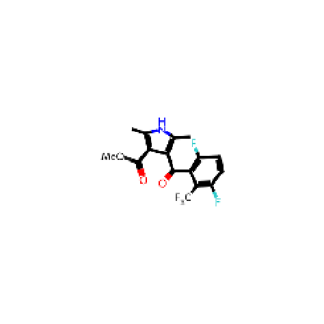 COC(=O)c1c(C)[nH]c(C)c1C(=O)c1c(F)ccc(F)c1C(F)(F)F